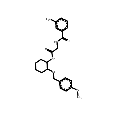 O=C(CNC(=O)c1cccc(C(F)(F)F)c1)NC1CCCCC1NCc1ccc(OC(F)(F)F)cc1